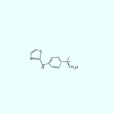 C[C@@H](C(=O)O)c1ccc(Nc2nccs2)cc1